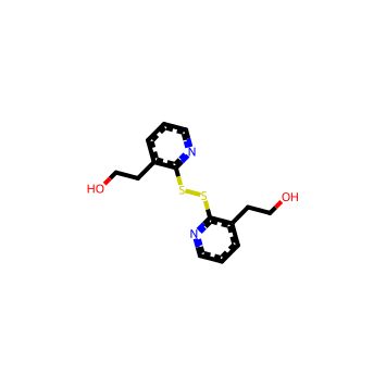 OCCc1cccnc1SSc1ncccc1CCO